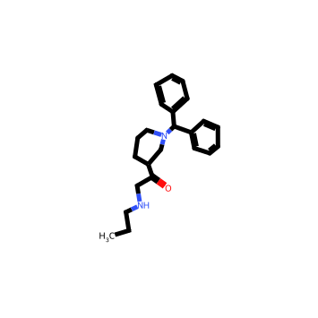 CCCNCC(=O)C1CCCN(C(c2ccccc2)c2ccccc2)C1